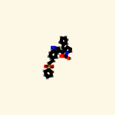 O=C(O)N1CCCC1(Cc1ccccc1)C(=O)c1c[nH]c2ccc(CCS(=O)(=O)c3ccccc3)cc12